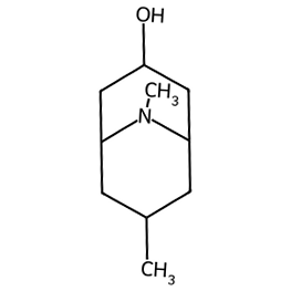 CC1CC2CC(O)CC(C1)N2C